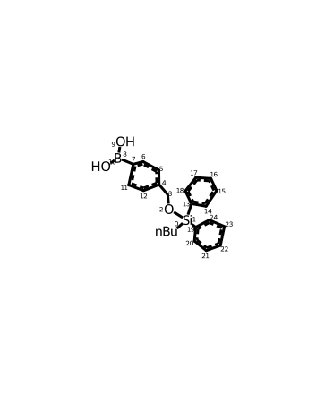 CCCC[Si](OCc1ccc(B(O)O)cc1)(c1ccccc1)c1ccccc1